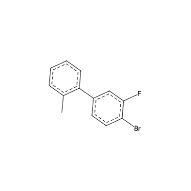 Cc1ccccc1-c1ccc(Br)c(F)c1